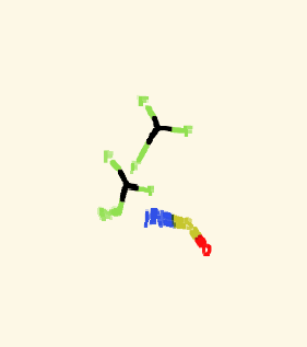 FC(F)F.FC(F)F.N=S=O